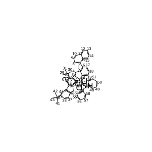 CCCC1=Cc2c(-c3cccc4ccccc34)cccc2[CH]1[Zr]([Cl])([Cl])([c]1cc(C(C)(C)C)cc2c1Cc1ccc(C(C)(C)C)cc1-2)[SiH](c1ccccc1)c1ccccc1